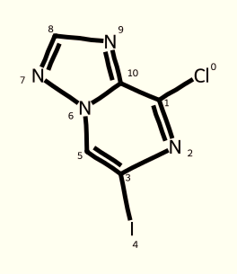 Clc1nc(I)cn2ncnc12